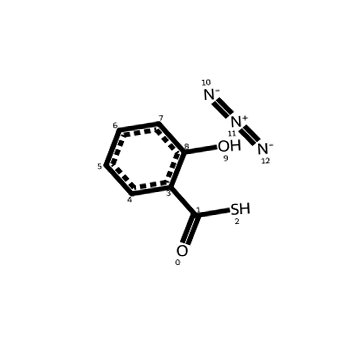 O=C(S)c1ccccc1O.[N-]=[N+]=[N-]